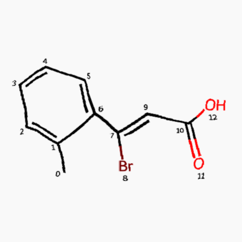 Cc1ccccc1C(Br)=CC(=O)O